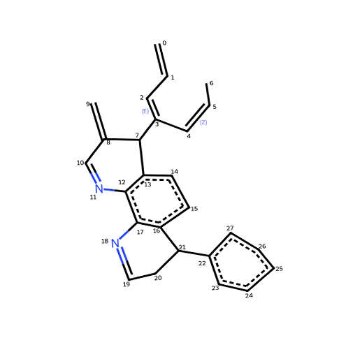 C=C/C=C(\C=C/C)C1C(=C)C=Nc2c1ccc1c2N=CCC1c1ccccc1